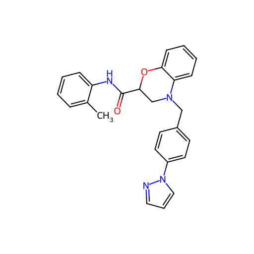 Cc1ccccc1NC(=O)C1CN(Cc2ccc(-n3cccn3)cc2)c2ccccc2O1